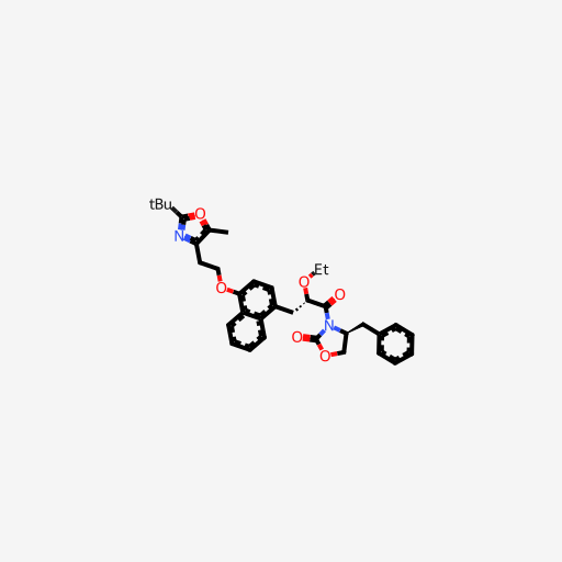 CCO[C@@H](Cc1ccc(OCCc2nc(C(C)(C)C)oc2C)c2ccccc12)C(=O)N1C(=O)OC[C@@H]1Cc1ccccc1